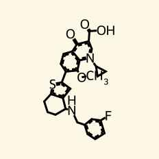 COc1c(-c2cc3c(s2)CCCC3NCc2cccc(F)c2)ccc2c(=O)c(C(=O)O)cn(C3CC3)c12